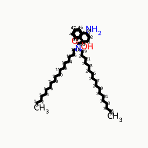 CCCCCCCCCCCCCCCCCCN(CCCCCCCCCCCCCCCCCC)C(=O)C1(O)CC=C(N)c2ccccc21